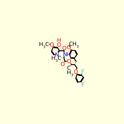 COc1ccc(C[C@H](COc2ccc(F)cc2F)[C@H](C)OC(=O)[C@H](C)NC(=O)c2nccc(OC)c2O)cc1